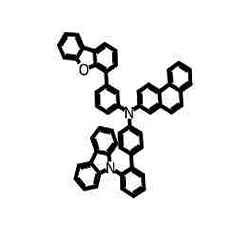 c1cc(-c2cccc3c2oc2ccccc23)cc(N(c2ccc(-c3ccccc3-n3c4ccccc4c4ccccc43)cc2)c2ccc3c(ccc4ccccc43)c2)c1